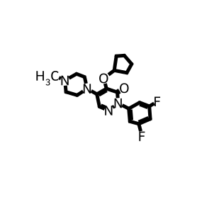 CN1CCN(c2cnn(-c3cc(F)cc(F)c3)c(=O)c2OC2CCCC2)CC1